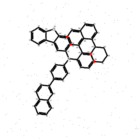 c1ccc(N(c2ccc(-c3ccc4ccccc4c3)cc2)c2ccc3oc4ccccc4c3c2)c(-c2cccc3cccc(C4CCCCC4)c23)c1